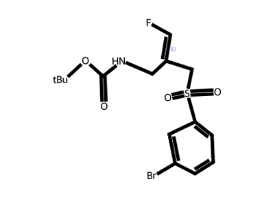 CC(C)(C)OC(=O)NC/C(=C\F)CS(=O)(=O)c1cccc(Br)c1